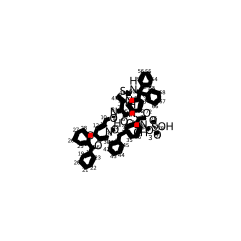 CC1(C)[C@H](NC(=O)/C(=N\OCc2cc(=O)c(OC(c3ccccc3)c3ccccc3)cn2OC(c2ccccc2)c2ccccc2)c2csc(NC(c3ccccc3)(c3ccccc3)c3ccccc3)n2)C(=O)N1OS(=O)(=O)O